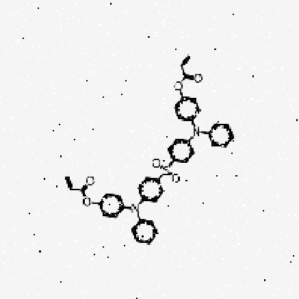 C=CC(=O)Oc1ccc(N(c2ccccc2)c2ccc(S(=O)(=O)c3ccc(N(c4ccccc4)c4ccc(OC(=O)C=C)cc4)cc3)cc2)cc1